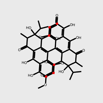 COC(=O)/C=C(\O)C1c2c(c(O)c3c(O)ccc(Cl)c3c2-c2c3c(c(O)c4c(O)ccc(Cl)c24)C(=O)C(C)C(O)(C(C)C)C3/C(O)=C/C=O)C(=O)C(C)C1(O)C(C)C